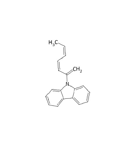 C=C(/C=C\C=C/C)n1c2ccccc2c2ccccc21